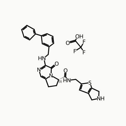 O=C(NCc1cc2c(s1)CNC2)[C@@H]1CCc2cnc(NCc3cccc(-c4ccccc4)c3)c(=O)n21.O=C(O)C(F)(F)F